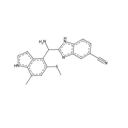 CSc1cc(C)c2[nH]ccc2c1C(N)c1nc2cc(C#N)ccc2[nH]1